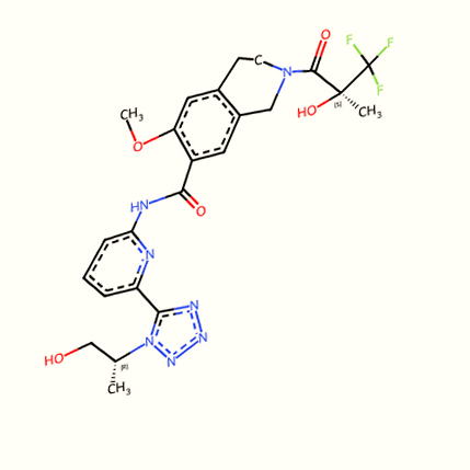 COc1cc2c(cc1C(=O)Nc1cccc(-c3nnnn3[C@H](C)CO)n1)CN(C(=O)[C@](C)(O)C(F)(F)F)CC2